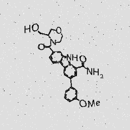 COc1cccc(-c2cc(C(N)=O)c3[nH]c4cc(C(=O)N5CCOCC5CO)ccc4c3c2)c1